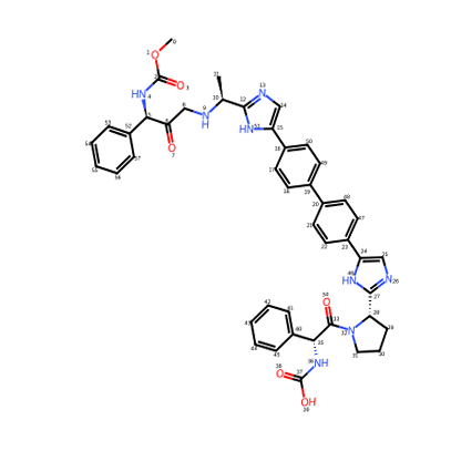 COC(=O)N[C@@H](C(=O)CN[C@@H](C)c1ncc(-c2ccc(-c3ccc(-c4cnc([C@@H]5CCCN5C(=O)[C@H](NC(=O)O)c5ccccc5)[nH]4)cc3)cc2)[nH]1)c1ccccc1